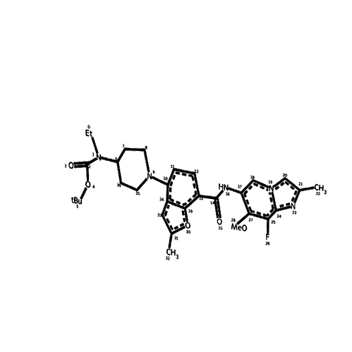 CCN(C(=O)OC(C)(C)C)C1CCN(c2ccc(C(=O)Nc3cn4cc(C)nc4c(F)c3OC)c3oc(C)cc23)CC1